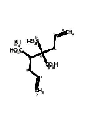 C=CCC(C(=O)O)C(CC=C)(C(=O)O)S(=O)(=O)O.[KH]